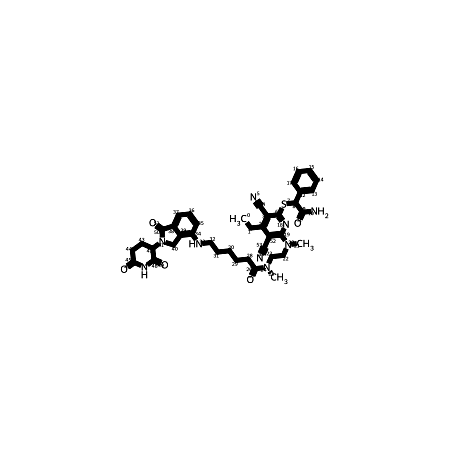 CCc1c(C#N)c(SC(C(N)=O)c2ccccc2)nc(N(C)CCN(C)C(=O)CCCCCNc2cccc3c2CN(C2CCC(=O)NC2=O)C3=O)c1C#N